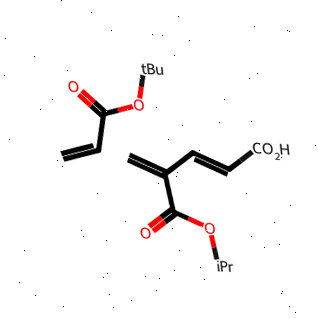 C=C(C=CC(=O)O)C(=O)OC(C)C.C=CC(=O)OC(C)(C)C